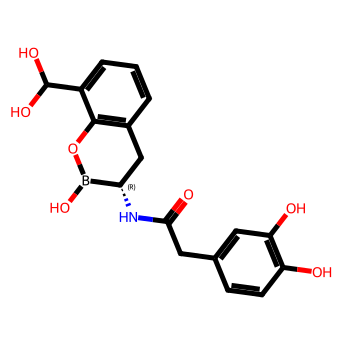 O=C(Cc1ccc(O)c(O)c1)N[C@H]1Cc2cccc(C(O)O)c2OB1O